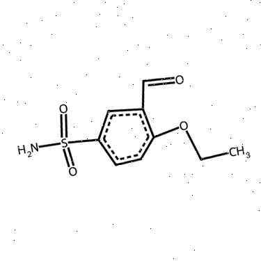 CCOc1ccc(S(N)(=O)=O)cc1C=O